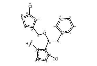 Cn1ncc(Cl)c1[C@@H](Cc1cccnc1)OCc1cnc(Cl)s1